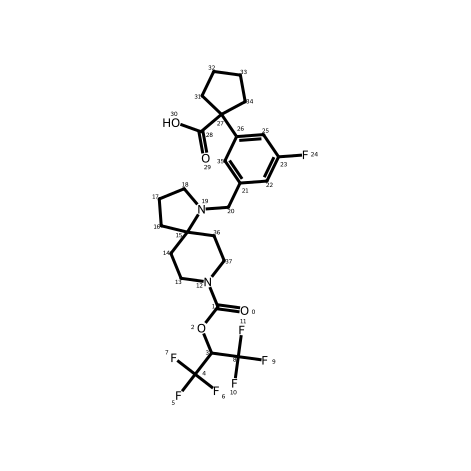 O=C(OC(C(F)(F)F)C(F)(F)F)N1CCC2(CCCN2Cc2cc(F)cc(C3(C(=O)O)CCCC3)c2)CC1